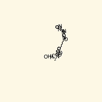 NC(=O)C(CCC=O)N1Cc2ccc(CCCCCCC(=O)N3CCC(n4cc(-c5cnc6ccccc6n5)cn4)CC3)cc2C1=O